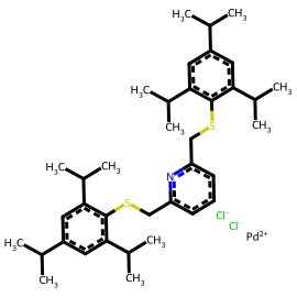 CC(C)c1cc(C(C)C)c(SCc2cccc(CSc3c(C(C)C)cc(C(C)C)cc3C(C)C)n2)c(C(C)C)c1.[Cl-].[Cl-].[Pd+2]